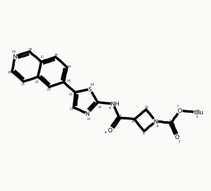 CC(C)(C)OC(=O)N1CC(C(=O)Nc2ncc(-c3ccc4cnccc4c3)s2)C1